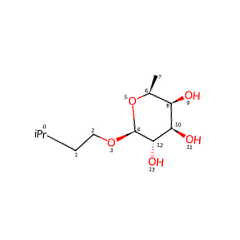 CC(C)CCO[C@H]1O[C@@H](C)[C@@H](O)[C@@H](O)[C@@H]1O